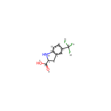 O=C(O)C1Cc2cc(C(F)(F)F)ccc2N1